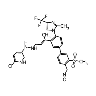 C/C(=C\CNNC1=CC=C(Cl)NC1)c1cc(-c2ccc(CN=O)c(S(C)(=O)=O)c2)ccc1-n1cc(C(F)(F)F)nc1C